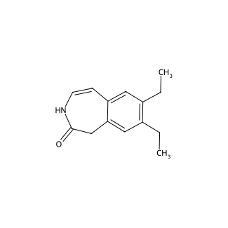 CCc1cc2c(cc1CC)CC(=O)NC=C2